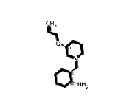 C=CCO[C@@H]1CCCN(C[C@@H]2CCCC[C@H]2N)C1